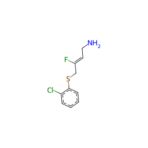 NC/C=C(\F)CSc1ccccc1Cl